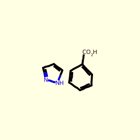 O=C(O)c1ccccc1.c1cn[nH]c1